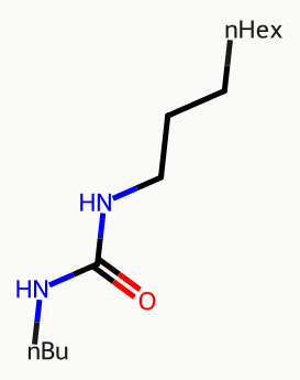 CCCCCCCCCNC(=O)NCCCC